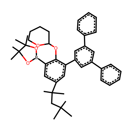 CC(C)(C)CC(C)(C)c1cc(B2OC(C)(C)C(C)(C)O2)c(OC2CCCCO2)c(-c2cc(-c3ccccc3)cc(-c3ccccc3)c2)c1